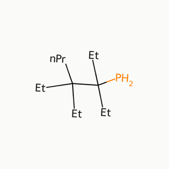 CCCC(CC)(CC)C(P)(CC)CC